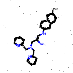 COc1ccc2cc(N/C=C(\N)CN(Cc3ccccn3)Cc3ccccn3)ccc2c1